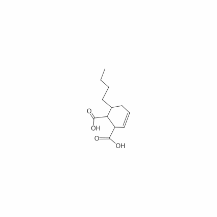 CCCCC1CC=CC(C(=O)O)C1C(=O)O